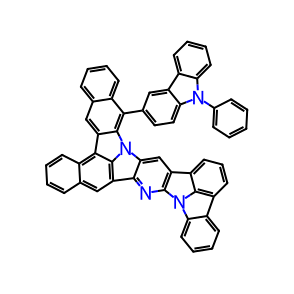 c1ccc(-n2c3ccccc3c3cc(-c4c5ccccc5cc5c6c7ccccc7cc7c8nc9c(cc8n(c45)c76)c4cccc5c6ccccc6n9c54)ccc32)cc1